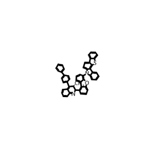 C[C@H]1C(c2ccc(-c3ccccc3)cc2)=c2ccccc2=NC1c1cccc2oc3c(-n4c5ccccc5c5c6sc7ccccc7c6ccc54)cccc3c12